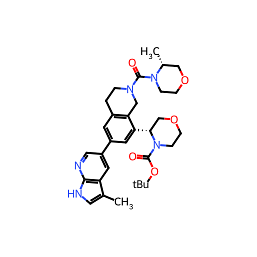 Cc1c[nH]c2ncc(-c3cc4c(c([C@@H]5COCCN5C(=O)OC(C)(C)C)c3)CN(C(=O)N3CCOC[C@H]3C)CC4)cc12